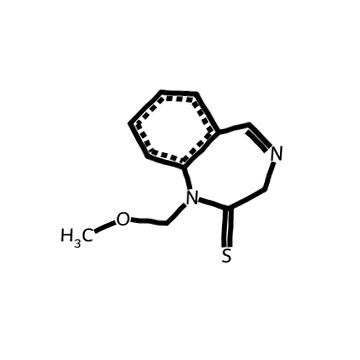 COCN1C(=S)CN=Cc2ccccc21